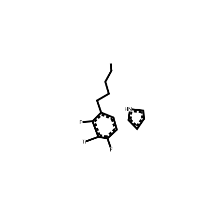 CCCCCc1ccc(F)[c]([Ti])c1F.c1cc[nH]c1